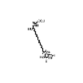 CC(O)C(CCCCCCCCCCCCCCCCC(O)C(C)NC(=O)CCC(=O)O)OC1OC(CO)C(O)C(O)C1O